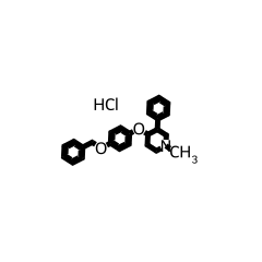 CN1CCC(Oc2ccc(OCc3ccccc3)cc2)C(c2ccccc2)C1.Cl